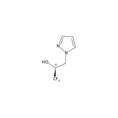 O[C@@H](Cn1cccn1)C(F)(F)F